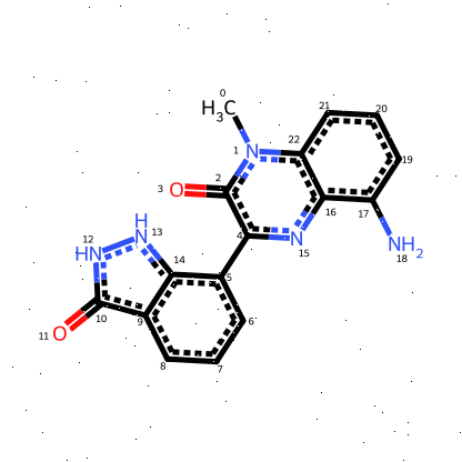 Cn1c(=O)c(-c2cccc3c(=O)[nH][nH]c23)nc2c(N)cccc21